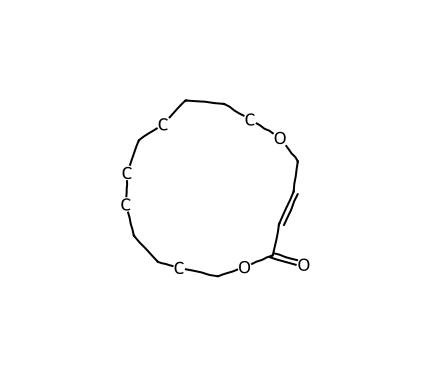 O=C1/C=C/COCCCCCCCCCCCO1